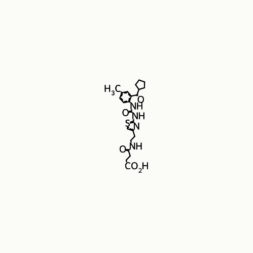 Cc1ccc(NC(=O)Nc2nc(CCNC(=O)CCC(=O)O)cs2)c(C(=O)C2CCCC2)c1